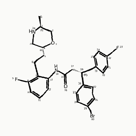 C[C@H]1CO[C@H](CCc2c(F)cccc2NC(=O)C[C@H](c2ccc(F)cc2)c2ccc(Br)cc2)CN1